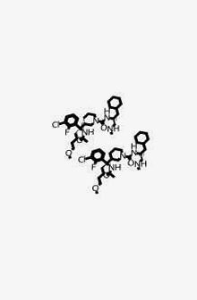 CNC[C@H](CC1CCCCC1)NC(=O)N1CCCC([C@](CCCCOC)(NC(C)=O)c2cccc(Cl)c2F)C1.CNC[C@H](CC1CCCCC1)NC(=O)N1CCC[C@@H]([C@@](CCCCOC)(NC(C)=O)c2cccc(Cl)c2F)C1